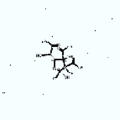 CCCC(=O)C(O)[C@H]1O[C@](O)(Cl)[C@@](O)(C(=O)CCC)[C@@]1(O)C(=O)CCC